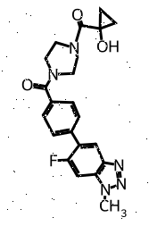 Cn1nnc2cc(-c3ccc(C(=O)N4CCN(C(=O)C5(O)CC5)CC4)cc3)c(F)cc21